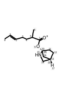 CC=CCCC(C)C(=O)O[C@@]12CC[C@H](CN1)C2